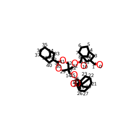 O=CC1CC2CCCC(C(=O)OCC3(COC(=O)C45CC6CC(C4)C(=O)C(C6)C5)COC(C4CC5CCCC(C5)C4)OC3)(C1)C2